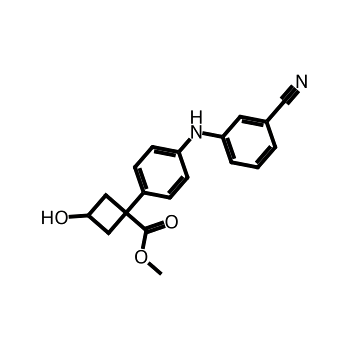 COC(=O)C1(c2ccc(Nc3cccc(C#N)c3)cc2)CC(O)C1